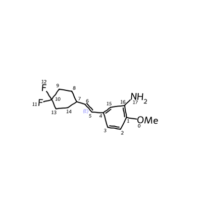 COc1ccc(/C=C/C2CCC(F)(F)CC2)cc1N